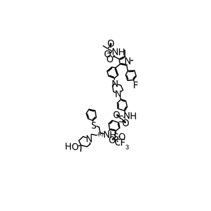 Cc1c(C(=O)NS(C)(=O)=O)c(-c2cccc(N3CCN(c4ccc(NS(=O)(=O)c5ccc(N[C@H](CCN6CCC(C)(O)CC6)CSc6ccccc6)c(S(=O)(=O)C(F)(F)F)c5)cc4)CC3)c2)c(-c2ccc(F)cc2)n1C